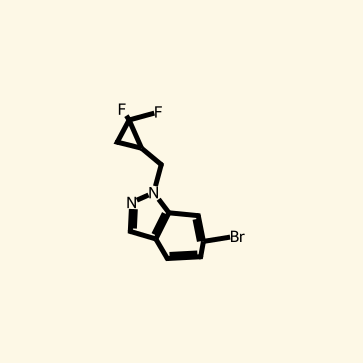 FC1(F)CC1Cn1ncc2ccc(Br)cc21